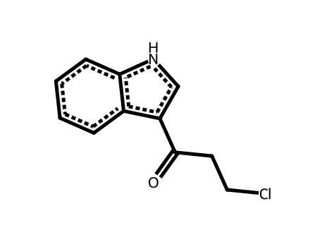 O=C(CCCl)c1c[nH]c2ccccc12